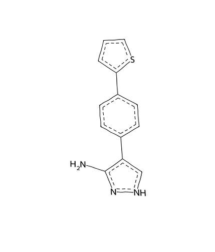 Nc1n[nH]cc1-c1ccc(-c2cccs2)cc1